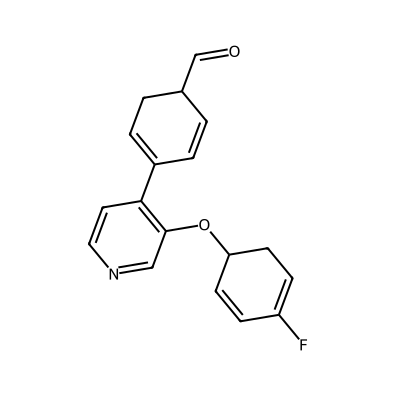 O=CC1C=CC(c2ccncc2OC2C=CC(F)=CC2)=CC1